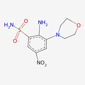 Nc1c(N2CCOCC2)cc([N+](=O)[O-])cc1S(N)(=O)=O